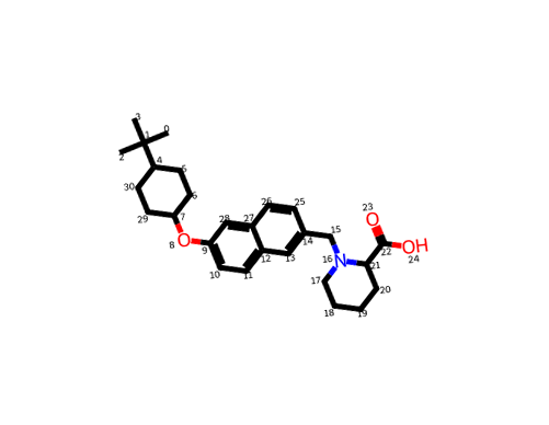 CC(C)(C)C1CCC(Oc2ccc3cc(CN4CCCCC4C(=O)O)ccc3c2)CC1